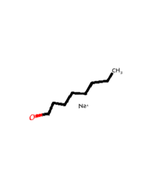 CCCCCCCC[O-].[Na+]